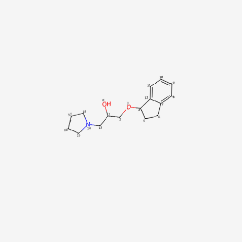 OC(COC1CCc2ccccc21)CN1CCCC1